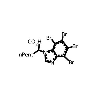 CCCCCC(C(=O)O)n1cnc2c(Br)c(Br)c(Br)c(Br)c21